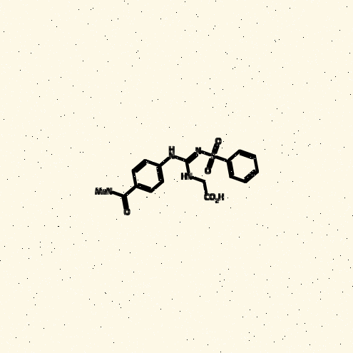 CNC(=O)c1ccc(NC(=NS(=O)(=O)c2ccccc2)NCC(=O)O)cc1